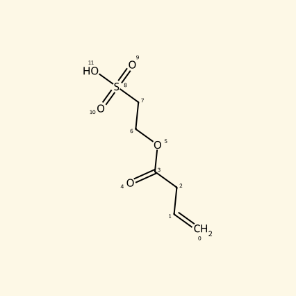 C=CCC(=O)OCCS(=O)(=O)O